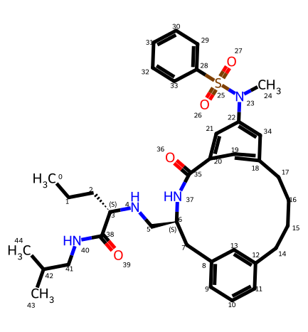 CCC[C@H](NC[C@@H]1Cc2cccc(c2)CCCCc2cc(cc(N(C)S(=O)(=O)c3ccccc3)c2)C(=O)N1)C(=O)NCC(C)C